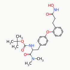 CN(C)C(=O)C(Cc1ccc(Oc2ccccc2CCC(=O)NO)cc1)NC(=O)OC(C)(C)C